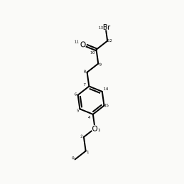 CCCOc1ccc(CCC(=O)CBr)cc1